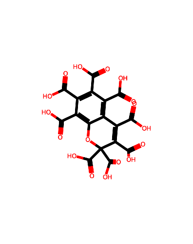 O=C(O)C1=C(C(=O)O)C(C(=O)O)(C(=O)O)Oc2c(C(=O)O)c(C(=O)O)c(C(=O)O)c(C(=O)O)c21